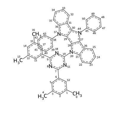 Cc1cc(C)cc(-c2nc(-c3cc(C)cc(C)c3)nc(-n3c4ccccc4c4c3c3c(c5ccccc5n3-c3ccccc3)n4-c3ccccc3)n2)c1